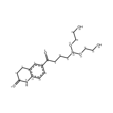 O=C1CCc2cc(C(=O)CCCN(OCCO)OCCO)ccc2N1